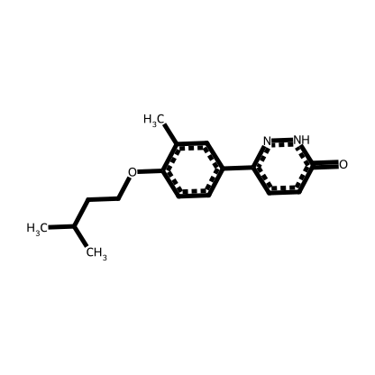 Cc1cc(-c2ccc(=O)[nH]n2)ccc1OCCC(C)C